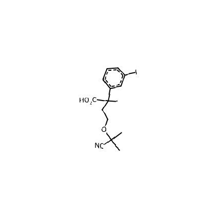 CC(C)(C#N)OCCC(C)(C(=O)O)c1cccc(I)c1